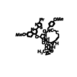 COc1ccc(CN2CCCC/C=C\[C@@H]3C[C@@]3(C(=O)NS(=O)(=O)C3(C)CC3)NC(=O)[C@@H]3C[C@@H](Oc4cc(-c5nc(C(C)C)cs5)nc5cc(OC)ccc45)CN3C2=O)cc1